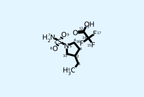 CCC1CCN(S(N)(=O)=O)C1.O=C(O)C(F)(F)F